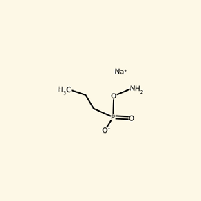 CCCP(=O)([O-])ON.[Na+]